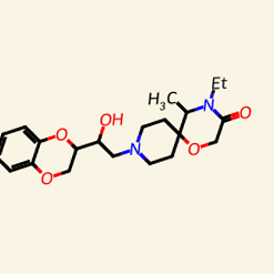 CCN1C(=O)COC2(CCN(CC(O)C3COc4ccccc4O3)CC2)C1C